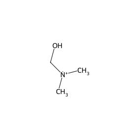 C[N+](C)CO